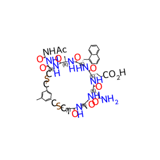 CC(=O)NC(=O)NC(=O)[C@@H]1CSCc2cc(C)cc(c2)CSC[C@H](C)C(=O)N[C@H](C)C(=O)N[C@@H](CC(N)=O)C(=O)N[C@@H](CCC(=O)O)C(=O)N[C@@H](Cc2cccc3ccccc23)C(=O)N[C@H](C)C(=O)N1